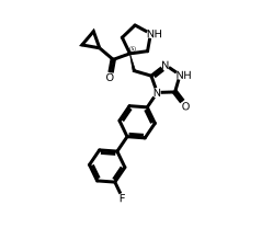 O=C(C1CC1)[C@]1(Cc2n[nH]c(=O)n2-c2ccc(-c3cccc(F)c3)cc2)CCNC1